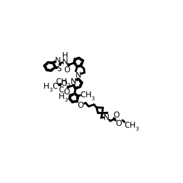 CCOC(=O)CN1CC2(CC(CCCOc3cccc(-c4ccc(N5CCc6cccc(C(=O)Nc7nc8ccccc8s7)c6C5)nc4C(=O)OC(C)(C)C)c3C)C2)C1